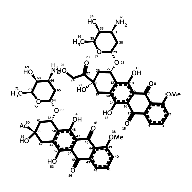 COc1cccc2c1C(=O)c1c(O)c3c(c(O)c1C2=O)C[C@@](O)(C(=O)CO)C[C@@H]3O[C@H]1C[C@H](N)[C@H](O)[C@H](C)O1.COc1cccc2c1C(=O)c1c(O)c3c(c(O)c1C2=O)C[C@@](O)(C(C)=O)C[C@@H]3O[C@H]1C[C@H](N)[C@H](O)[C@H](C)O1